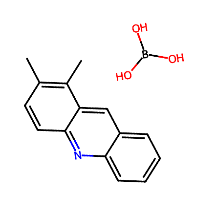 Cc1ccc2nc3ccccc3cc2c1C.OB(O)O